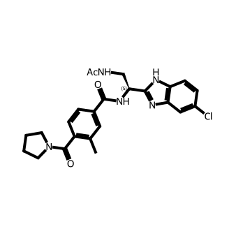 CC(=O)NC[C@H](NC(=O)c1ccc(C(=O)N2CCCC2)c(C)c1)c1nc2cc(Cl)ccc2[nH]1